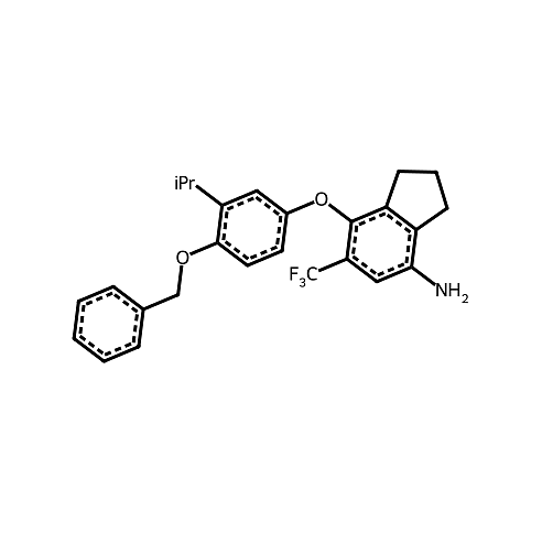 CC(C)c1cc(Oc2c(C(F)(F)F)cc(N)c3c2CCC3)ccc1OCc1ccccc1